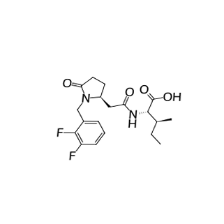 CC[C@H](C)[C@H](NC(=O)C[C@@H]1CCC(=O)N1Cc1cccc(F)c1F)C(=O)O